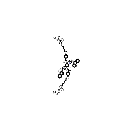 C=CC(=O)OCCCCCCOc1ccc(C(=O)Oc2cc(/C=N/Nc3ccc4ccccc4c3)c(OC(=O)c3ccc(OCCCCCCOC(=O)C=C)cc3)cc2/C=N/N=C2c3ccccc3-c3ccccc32)cc1